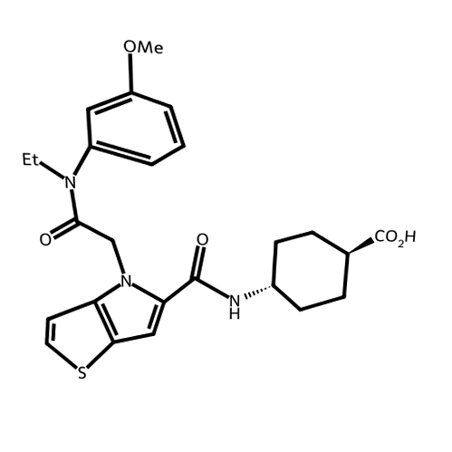 CCN(C(=O)Cn1c(C(=O)N[C@H]2CC[C@H](C(=O)O)CC2)cc2sccc21)c1cccc(OC)c1